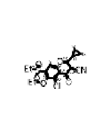 CCOc1c(S(=O)(=O)CC)ccc(C(=O)C(C#N)C(=O)C2CC2)c1Cl